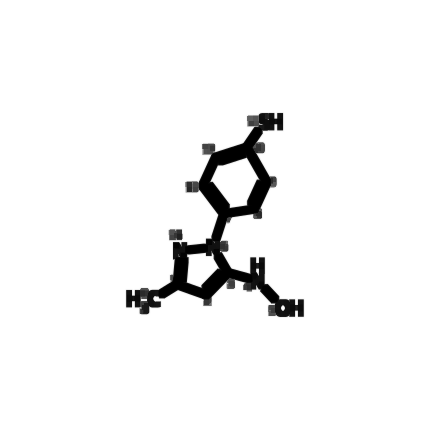 Cc1cc(NO)n(-c2ccc(S)cc2)n1